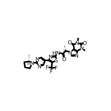 C[C@H]1CCCN1c1ncc(-c2nc(NC(=O)[C@H](C)n3cnc4c3c(=O)n(C)c(=O)n4C)sc2C(F)(F)F)cn1